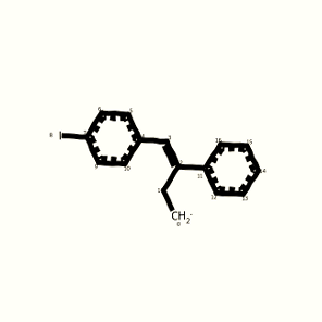 [CH2]C/C(=C\c1ccc(I)cc1)c1ccccc1